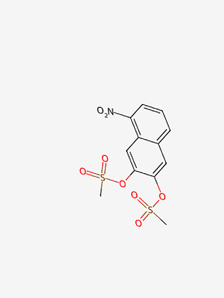 CS(=O)(=O)Oc1cc2cccc([N+](=O)[O-])c2cc1OS(C)(=O)=O